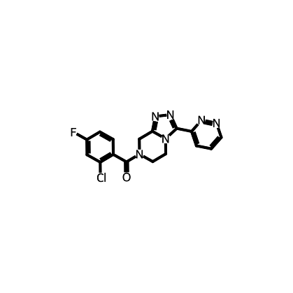 O=C(c1ccc(F)cc1Cl)N1CCn2c(nnc2-c2cccnn2)C1